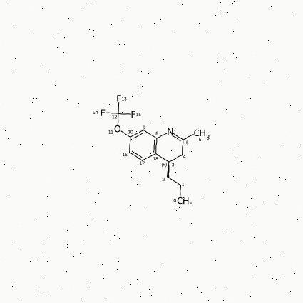 CCC[C@@H]1CC(C)=Nc2cc(OC(F)(F)F)ccc21